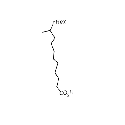 CCCCCCC(C)CCCCCCCCC(=O)O